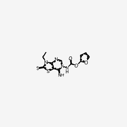 CCn1c(=S)sc2c(=N)n(NC(=O)Oc3ccco3)cnc21